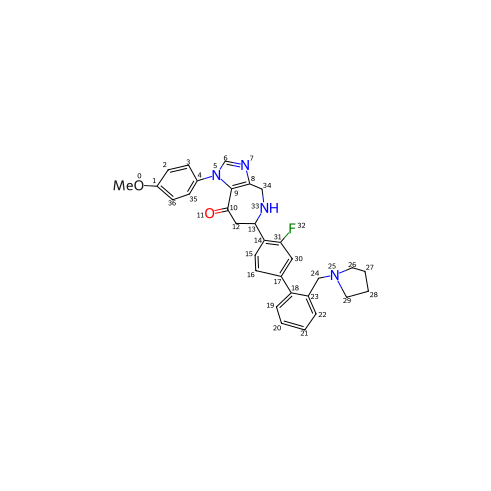 COc1ccc(-n2cnc3c2C(=O)CC(c2ccc(-c4ccccc4CN4CCCC4)cc2F)NC3)cc1